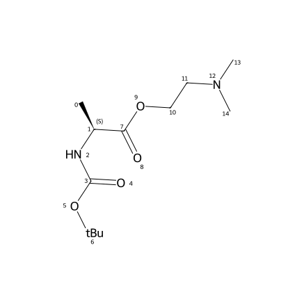 C[C@H](NC(=O)OC(C)(C)C)C(=O)OCCN(C)C